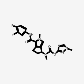 CN(C(=O)Oc1ncn(C)n1)C1CCc2c1cn(C)c2C(=O)Nc1ccc(F)c(F)c1